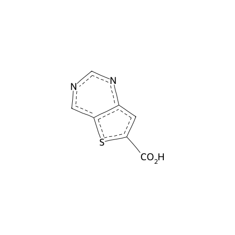 O=C(O)c1cc2ncncc2s1